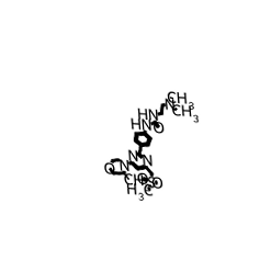 C[C@H]1COCCN1c1cc(CS(C)(=O)=O)nc(-c2ccc(NC(=O)NCCN(C)C)cc2)n1